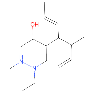 C=CC(C)C(C=CC)C(CN(CC)NC)C(C)O